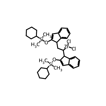 C[Si](C)(OC1=Cc2ccccc2C1C[CH](C1C(O[Si](C)(C)C2CCCCC2)=Cc2ccccc21)[Zr]([Cl])[Cl])C1CCCCC1